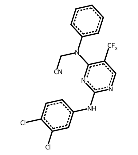 N#CCN(c1ccccc1)c1nc(Nc2ccc(Cl)c(Cl)c2)ncc1C(F)(F)F